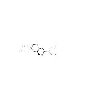 NC1(C(=O)O)CCc2cc(C(CCCl)CCCl)ccc2C1